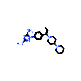 C/C=C(\c1ccc(-n2nc(N)nc2N)cc1)N1CCC(N2CCCCC2)CC1